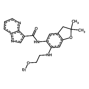 CCOCCNc1cc2c(cc1NC(=O)c1cnn3cccnc13)CC(C)(C)O2